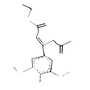 CCOC(=O)C=C(CC(=O)O)c1cc(OC)c(O)c(OC)c1